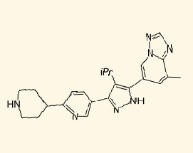 Cc1cc(-c2[nH]nc(-c3ccc(C4CCNCC4)nc3)c2C(C)C)cn2ncnc12